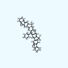 CC1(C)c2cc3c(cc2-c2cc4oc5ccccc5c4cc21)N(c1ccccc1)c1cc2c(cc1O3)C(C)(C)c1cc3c(cc1-2)oc1ccccc13